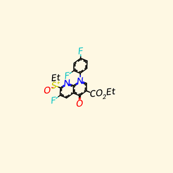 CCOC(=O)c1cn(-c2ccc(F)cc2F)c2nc([S+]([O-])CC)c(F)cc2c1=O